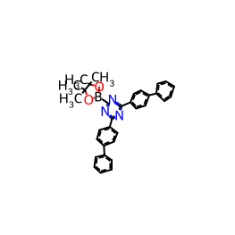 CC1(C)OB(c2nc(-c3ccc(-c4ccccc4)cc3)nc(-c3ccc(-c4ccccc4)cc3)n2)OC1(C)C